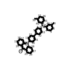 Cc1cccc(N(c2ccc(-c3ccc(-n4c5ccccc5c(=O)c5ccccc54)cc3)cc2)c2cccc(C)c2)c1